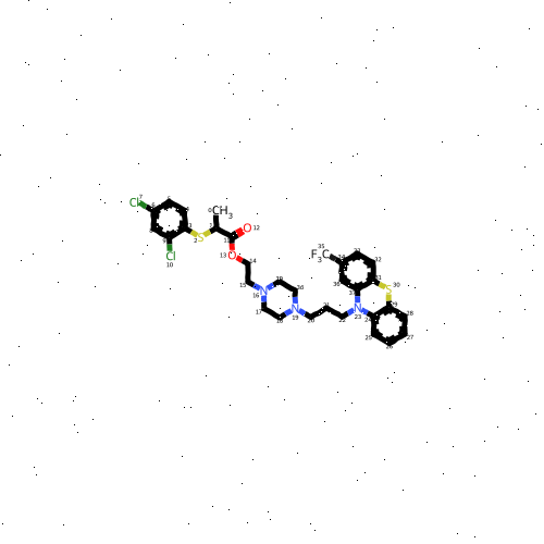 CC(Sc1ccc(Cl)cc1Cl)C(=O)OCCN1CCN(CCCN2c3ccccc3Sc3ccc(C(F)(F)F)cc32)CC1